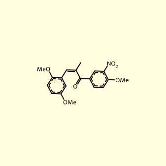 COc1ccc(OC)c(C=C(C)C(=O)c2ccc(OC)c([N+](=O)[O-])c2)c1